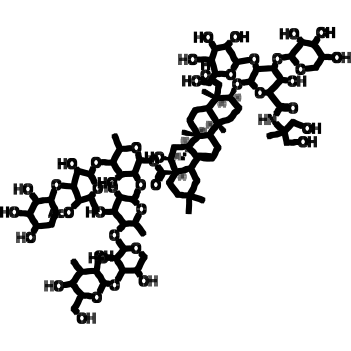 CC(=O)OC1C(C)OC(OC2C(C)OC(OC(=O)[C@]34CCC(C)(C)CC3C3=CCC5[C@@]6(C)CC[C@H](OC7OC(C(=O)NC(C)(CO)CO)C(O)C(OC8OCC(O)C(O)C8O)C7OC7OC(CO)C(O)C(O)C7O)[C@@](C)(CO)C6CC[C@@]5(C)[C@]3(C)C[C@H]4O)C(OC3OC(C)C(OC4OCC(O)C(OC5OC(CO)C(O)C(C)C5O)C4O)C(O)C3O)C2O)C(O)C1OC1CCC(O)C(O)C1O